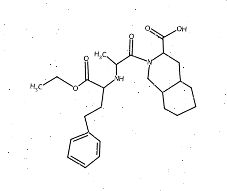 CCOC(=O)C(CCc1ccccc1)NC(C)C(=O)N1CC2CCCCC2CC1C(=O)O